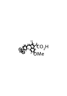 COc1ccc2c(c1)C(CC(=O)O)=C(C)/C2=C/c1ccc(S(C)(=O)=O)cc1